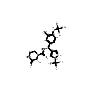 C[C@@H]1C(=O)NCCN1C(=O)N[C@H](c1ccc(OC(F)(F)F)c(Cl)c1)c1cnn(C(F)(F)F)c1